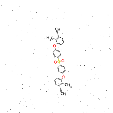 C#Cc1cccc(Oc2ccc(S(=O)(=O)c3ccc(Oc4cccc(C#C)c4C)cc3)cc2)c1C